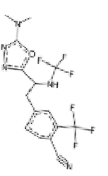 CN(C)c1nnc(C(Cc2ccc(C#N)c(C(F)(F)F)c2)NC(F)(F)F)o1